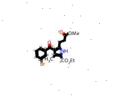 CCOC(=O)c1[nH]c(CCC(=O)OC)c(C(=O)c2cccc(Br)c2)c1C